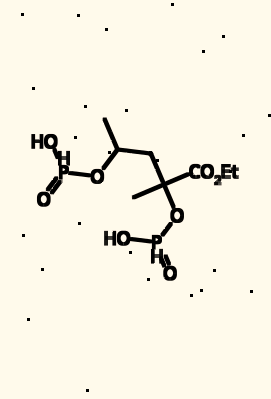 CCOC(=O)C(C)(CC(C)O[PH](=O)O)O[PH](=O)O